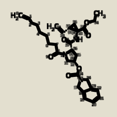 C=CCCCCCCC(=O)N1C[C@H](OC(=O)N2Cc3ccccc3C2)C[C@H]1C(=O)N[C@]1(C(=O)OCC)C[C@H]1C=C